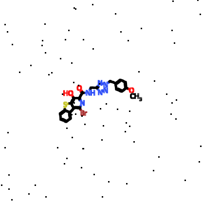 COc1ccc(Cn2nnc(CNC(=O)c3nc(Br)c4c(sc5ccccc54)c3O)n2)cc1